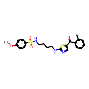 Cc1ccccc1C(=O)c1cnc(NCCCCNS(=O)(=O)c2ccc(OC(F)(F)F)cc2)s1